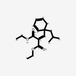 CCOC(=O)C(=CC1(CC(C)C)C=CC=CC1)C(=O)OCC